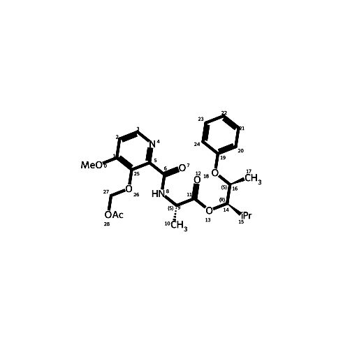 COc1ccnc(C(=O)N[C@@H](C)C(=O)O[C@H](C(C)C)[C@H](C)Oc2ccccc2)c1OCOC(C)=O